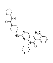 Cc1ccccc1-c1cc2cnc(NC3CCN(C(=O)NC4CCCC4)CC3)nc2n(C2CCOCC2)c1=O